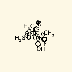 COc1ccc(F)cc1[C@H](Cn1c(=O)n([C@H]2CCN(C)C2=O)c(=O)c2c(C)c(-n3cccn3)sc21)O[C@H]1CC[C@@H](O)CC1